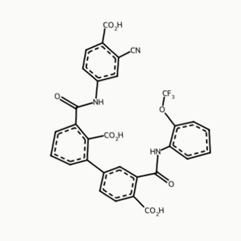 N#Cc1cc(NC(=O)c2cccc(-c3ccc(C(=O)O)c(C(=O)Nc4ccccc4OC(F)(F)F)c3)c2C(=O)O)ccc1C(=O)O